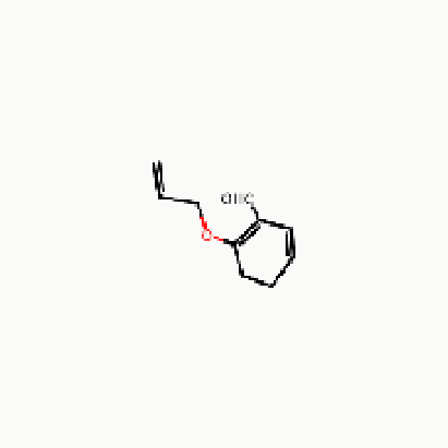 C=CCOC1=C(C=O)C=CCC1